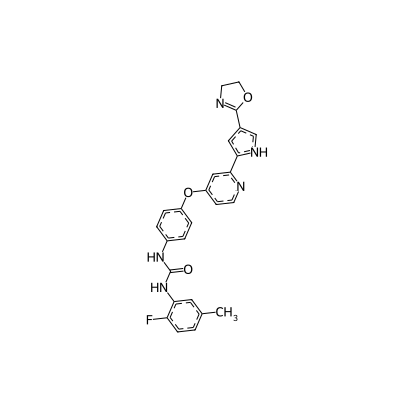 Cc1ccc(F)c(NC(=O)Nc2ccc(Oc3ccnc(-c4cc(C5=NCCO5)c[nH]4)c3)cc2)c1